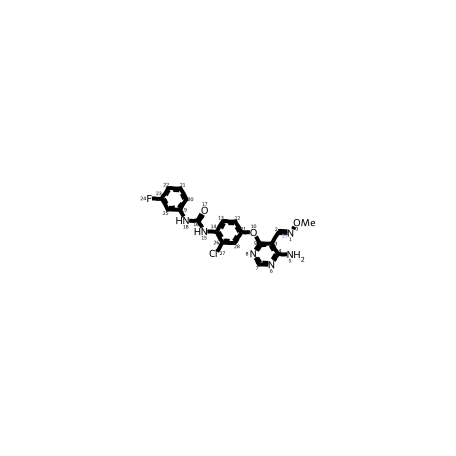 CO/N=C/c1c(N)ncnc1Oc1ccc(NC(=O)Nc2cccc(F)c2)c(Cl)c1